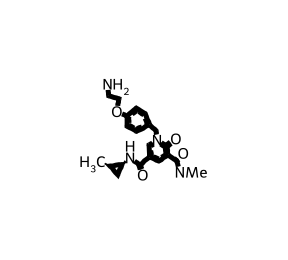 CNC(=O)c1cc(C(=O)N[C@H]2C[C@@H]2C)cn(Cc2ccc(OCCN)cc2)c1=O